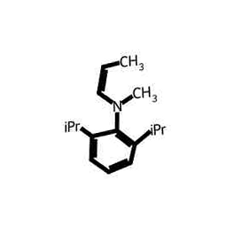 C/C=C\N(C)c1c(C(C)C)cccc1C(C)C